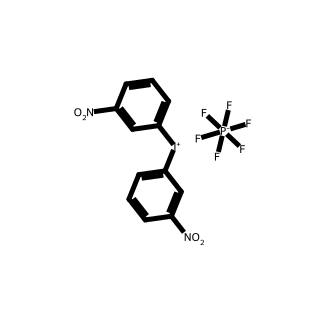 F[P-](F)(F)(F)(F)F.O=[N+]([O-])c1cccc([I+]c2cccc([N+](=O)[O-])c2)c1